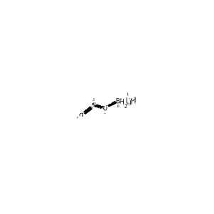 BON=O.[LiH]